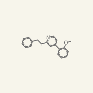 COc1ccccc1-c1ccnc([CH]Cc2ccccc2)c1